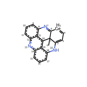 CC12C3=C[CH]=[GeH][C]1=Nc1cccc4nc5cccc(c5c2c14)N3